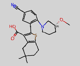 CO[C@@H]1CCCN(c2ccc(C#N)cc2-c2sc3c(c2C(=O)O)CC(C)(C)CC3)C1